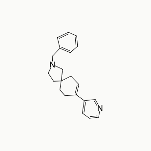 C1=C(c2cccnc2)CCC2(C1)CCN(Cc1ccccc1)C2